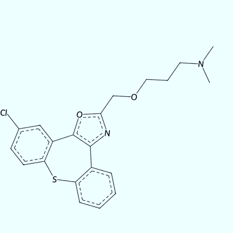 CN(C)CCCOCc1nc2c(o1)-c1cc(Cl)ccc1Sc1ccccc1-2